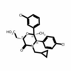 C[C@@]1(c2cccc(Cl)c2)O[C@@H](CC(=O)O)C(=O)N(CC2CC2)[C@@H]1c1ccc(Cl)cc1